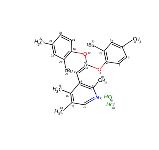 Cc1ccc([O][Ti](=[CH]c2c(C)ncc(C)c2C)[O]c2ccc(C)cc2C(C)(C)C)c(C(C)(C)C)c1.Cl.Cl